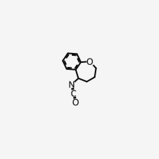 O=C=NC1CCCOc2ccccc21